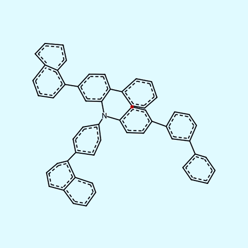 c1ccc(-c2cccc(-c3ccc(N(c4ccc(-c5cccc6ccccc56)cc4)c4cc(-c5cccc6ccccc56)ccc4-c4ccccc4)cc3)c2)cc1